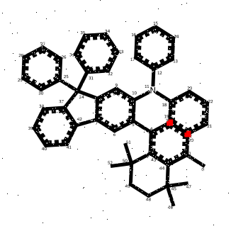 Cc1ccc(-c2cc3c(cc2N(c2ccccc2)c2ccccc2)C(c2ccccc2)(c2ccccc2)c2ccccc2-3)c2c1C(C)(C)CCC2(C)C